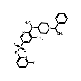 Cc1cc(S(=O)(=O)Nc2cccc(F)n2)cnc1N(C)C1CCN(C(C)c2ccccc2)CC1